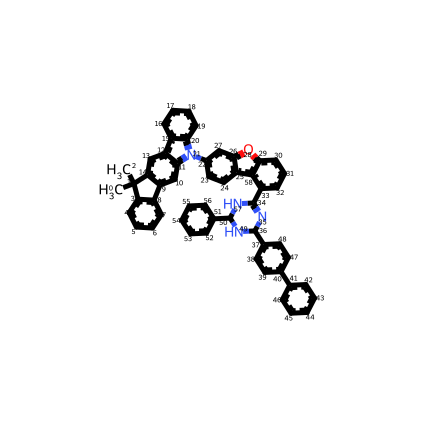 CC1(C)c2ccccc2-c2cc3c(cc21)c1ccccc1n3-c1ccc2c(c1)oc1cccc(C3=NC(c4ccc(-c5ccccc5)cc4)NC(c4ccccc4)N3)c12